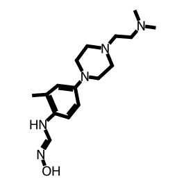 Cc1cc(N2CCN(CCN(C)C)CC2)ccc1N/C=N/O